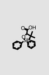 CC(C)(C)C(O[SiH](c1ccccc1)c1ccccc1)C(=O)O